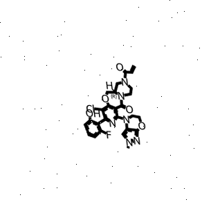 C=CC(=O)N1CCN2C(=O)c3c(N4CCOc5nn(C)cc54)nc(-c4c(O)cccc4F)c(Cl)c3OC[C@H]2C1